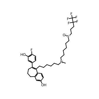 CN(CCCCCCC1=C(c2ccc(F)c(O)c2)CCCc2cc(O)ccc21)CCCCCC[S+]([O-])CCCC(F)(F)C(F)(F)F